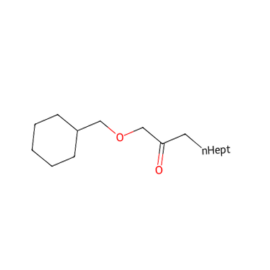 CCCCCCCCC(=O)COCC1CCCCC1